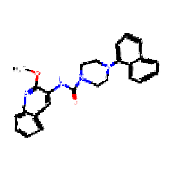 COc1nc2ccccc2cc1NC(=O)N1CCN(c2cccc3ccccc23)CC1